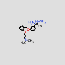 CN(C)CCCOc1ccccc1COc1cccc(/C(N)=C(\C#N)NN)c1